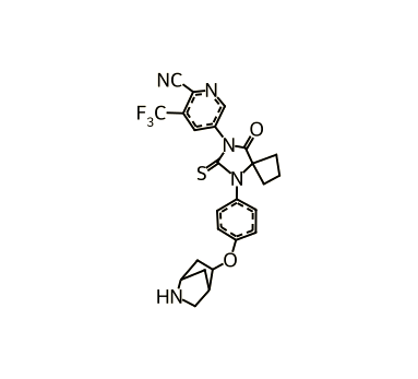 N#Cc1ncc(N2C(=O)C3(CCC3)N(c3ccc(OC4CC5CC4CN5)cc3)C2=S)cc1C(F)(F)F